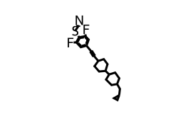 N#CSc1c(F)cc(C#CC2CCC(C3CCC(CC4CC4)CC3)CC2)cc1F